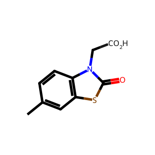 Cc1ccc2c(c1)sc(=O)n2CC(=O)O